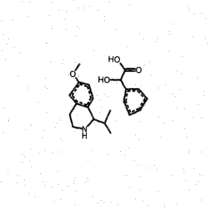 COc1ccc2c(c1)CCNC2C(C)C.O=C(O)C(O)c1ccccc1